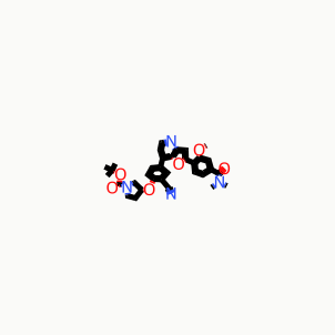 COc1cc(C(=O)N(C)C)ccc1-c1cc2nccc(-c3ccc(OC4CCN(C(=O)OC(C)(C)C)C4)c(C#N)c3)c2o1